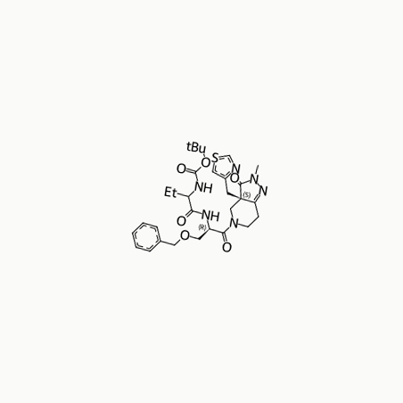 CCC(NC(=O)OC(C)(C)C)C(=O)N[C@H](COCc1ccccc1)C(=O)N1CCC2=NN(C)C(=O)[C@@]2(Cc2cscn2)C1